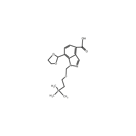 C[Si](C)(C)CCOCn1ncc2c(C(=O)O)ccc(C3OCCO3)c21